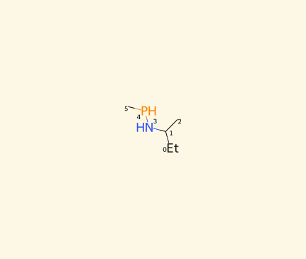 CCC(C)NPC